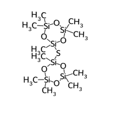 C[Si]1(C)O[Si](C)(C)O[Si](C)(S[Si]2(C)O[Si](C)(C)O[Si](C)(C)O2)O1